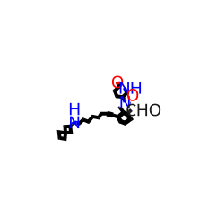 CN(Cc1c(C#CCCCCCCNC2CC3(CCC3)C2)cccc1C=O)C1CCC(=O)NC1=O